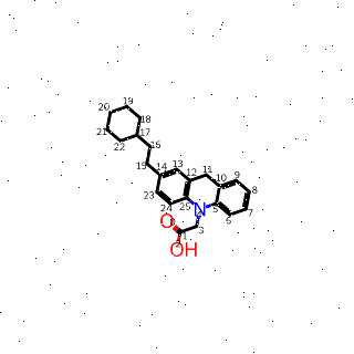 O=C(O)CN1c2ccccc2Cc2cc(CCC3CCCCC3)ccc21